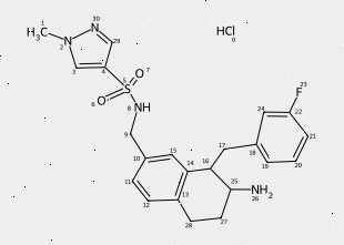 Cl.Cn1cc(S(=O)(=O)NCc2ccc3c(c2)C(Cc2cccc(F)c2)C(N)CC3)cn1